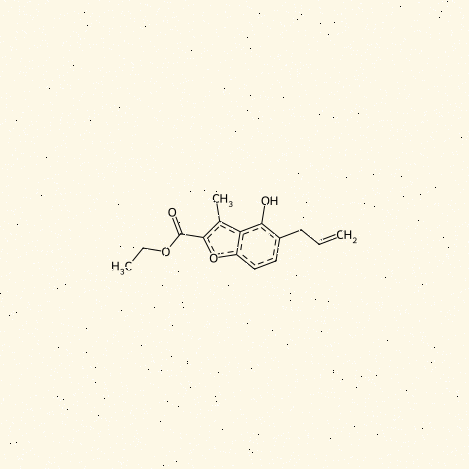 C=CCc1ccc2oc(C(=O)OCC)c(C)c2c1O